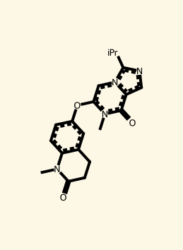 CC(C)c1ncc2c(=O)n(C)c(Oc3ccc4c(c3)CCC(=O)N4C)cn12